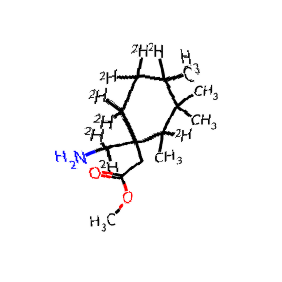 [2H]C([2H])(N)C1(CC(=O)OC)C([2H])([2H])C([2H])([2H])C([2H])(C)C(C)(C)C1([2H])C